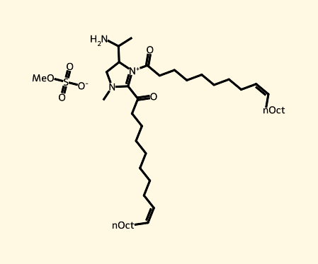 CCCCCCCC/C=C\CCCCCCCC(=O)C1=[N+](C(=O)CCCCCCC/C=C\CCCCCCCC)C(C(C)N)CN1C.COS(=O)(=O)[O-]